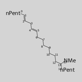 CCCCCC=CCC=CCCCCCCCC(CCCCC)NC